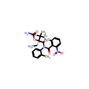 CC[C@@](OC(N)=O)(C(=O)N(C(=O)c1c(C)cccc1[N+](=O)[O-])c1ccccc1C)C(C)(C)C